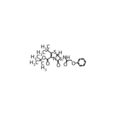 CC(C)C1=C(C(=O)OC(C)(C)C)N2C(=O)[C@@H](NC(=O)COc3ccccc3)[C@H]2S1